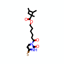 CC1CC(C)(C(=O)OCCCCCC(=O)n2ccc(=S)[nH]c2=O)C1C